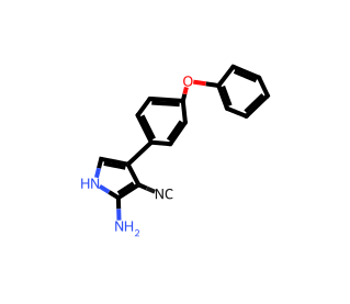 [C-]#[N+]c1c(-c2ccc(Oc3ccccc3)cc2)c[nH]c1N